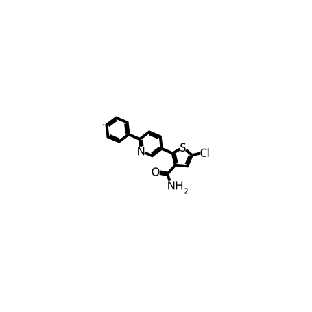 NC(=O)c1cc(Cl)sc1-c1ccc(-c2cc[c]cc2)nc1